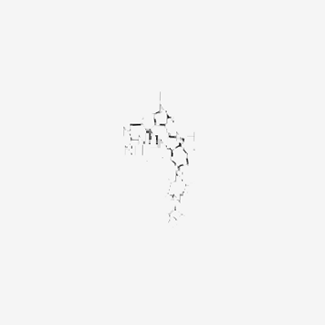 NC1=NC=CC(N)(c2c[nH]nc2-c2nc3cc(N4CCN(C5COC5)CC4)ccc3[nH]2)N1